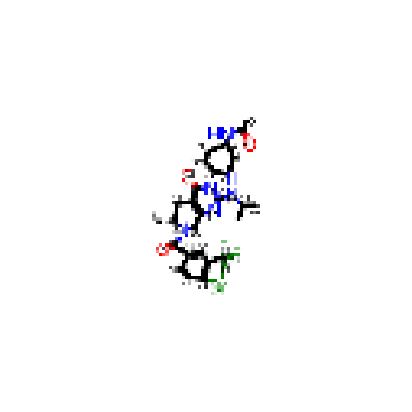 CC(=O)N[C@H]1CC[C@H](n2c(NC(C)C)nc3c(c2=O)C[C@@H](C)N(C(=O)c2ccc(Br)c(C(F)(F)F)c2)C3)CC1